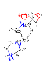 Cc1nc(C2(O)COC2)ccc1N1CCNCC1